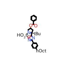 CCCCCCCCc1ccc(-c2noc([C@@]3(C(C)(C)C)C[C@H](OC(=O)c4ccccc4)CN3C(=O)O)n2)cc1